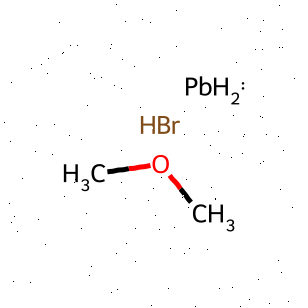 Br.COC.[PbH2]